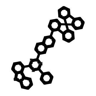 c1ccc(-c2nc(-c3ccc4cc(-c5cccc6c5-c5ccccc5C65c6ccccc6-c6ccccc65)ccc4c3)nc(-c3cccc4oc5ccccc5c34)n2)cc1